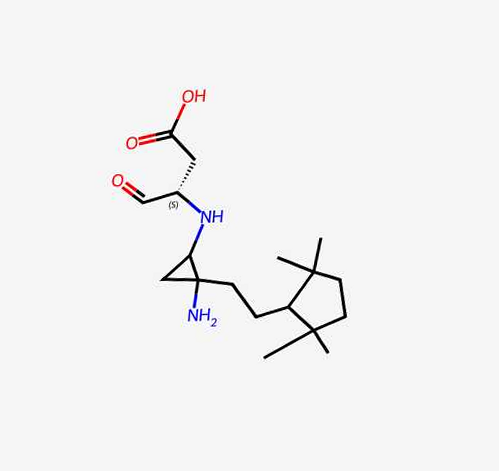 CC1(C)CCC(C)(C)C1CCC1(N)CC1N[C@H](C=O)CC(=O)O